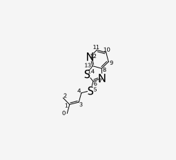 CC(C)=CCSc1nc2cccnc2s1